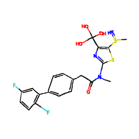 CN(C(=O)Cc1ccc(-c2cc(F)ccc2F)cc1)c1nc(C(O)(O)O)c(S(C)=N)s1